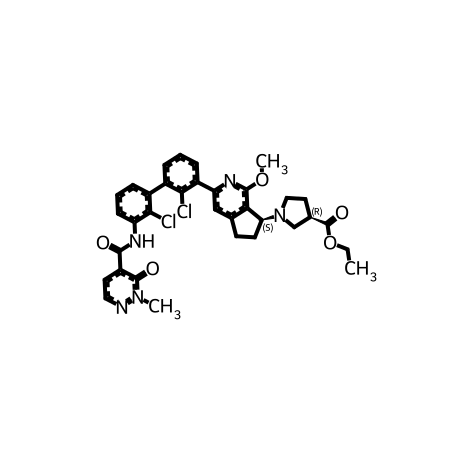 CCOC(=O)[C@@H]1CCN([C@H]2CCc3cc(-c4cccc(-c5cccc(NC(=O)c6ccnn(C)c6=O)c5Cl)c4Cl)nc(OC)c32)C1